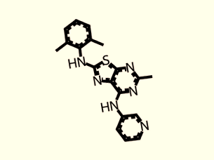 Cc1nc(Nc2cccnc2)c2nc(Nc3c(C)cccc3C)sc2n1